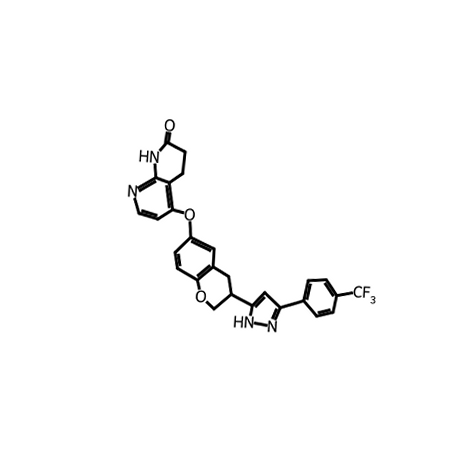 O=C1CCc2c(Oc3ccc4c(c3)CC(c3cc(-c5ccc(C(F)(F)F)cc5)n[nH]3)CO4)ccnc2N1